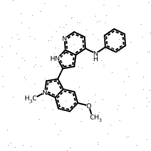 COc1ccc2c(c1)c(-c1cc3c(Nc4ccccc4)ccnc3[nH]1)cn2C